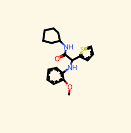 COc1ccccc1NC(C(=O)NC1CCCCC1)c1cccs1